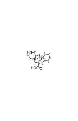 O=C(O)C(Cc1ccccc1)(CN1CCNCC1)C(F)(F)F